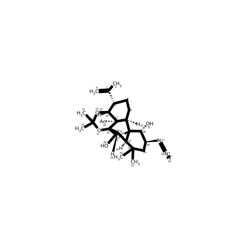 C=C(C)[C@@H]1CC[C@H]2[C@@]34COC5(OC(C)(C)O[C@H]1[C@@]25C(C)=O)[C@@H](O)[C@@H]3C(C)(C)C[C@H](N=[N+]=[N-])[C@H]4O